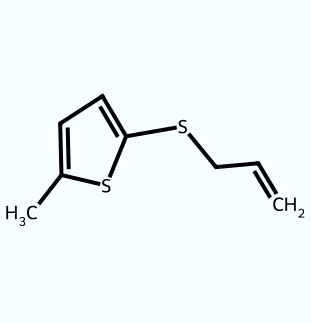 C=CCSc1ccc(C)s1